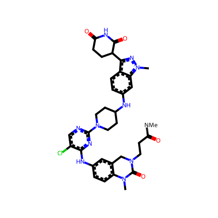 CNC(=O)CCN1Cc2cc(Nc3nc(N4CCC(Nc5ccc6c(C7CCC(=O)NC7=O)nn(C)c6c5)CC4)ncc3Cl)ccc2N(C)C1=O